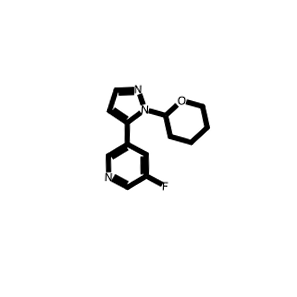 Fc1cncc(-c2ccnn2C2CCCCO2)c1